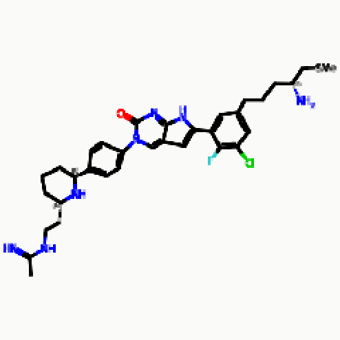 CSC[C@H](N)CCCc1cc(Cl)c(F)c(-c2cc3cn(-c4ccc([C@@H]5CCC[C@@H](CCNC(C)=N)N5)cc4)c(=O)nc3[nH]2)c1